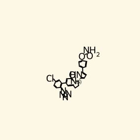 NC(=O)Oc1ccc(-c2ccc([C@@H]3CCc4cc(-c5cc(Cl)ccc5-n5cnnn5)cc(=O)n43)[nH]2)cc1